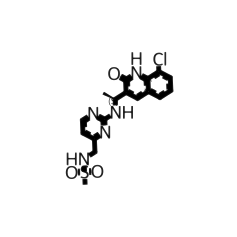 C[C@H](Nc1nccc(CNS(C)(=O)=O)n1)c1cc2cccc(Cl)c2[nH]c1=O